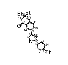 CCc1ccc(C2=NCC(c3ccc4c(c3)C(=O)CC(CC)(CC)O4)=N2)cc1